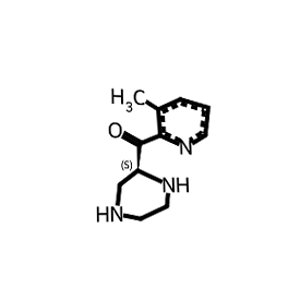 Cc1cccnc1C(=O)[C@@H]1CNCCN1